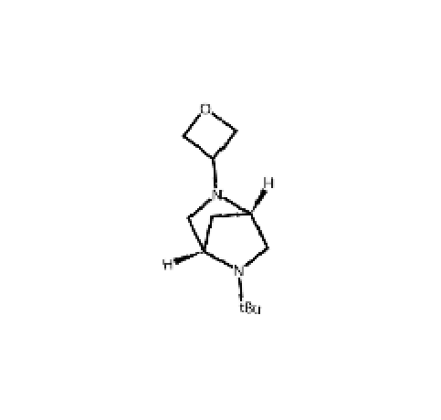 CC(C)(C)N1C[C@@H]2C[C@H]1CN2C1COC1